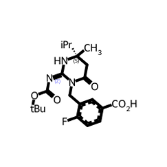 CC(C)[C@]1(C)CC(=O)N(Cc2cc(C(=O)O)ccc2F)/C(=N\C(=O)OC(C)(C)C)N1